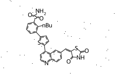 CCCCc1c(-c2ccc(-c3ccnc4ccc(C=C5SC(=O)NC5=O)cc34)s2)cccc1S(N)(=O)=O